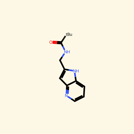 CC(C)(C)C(=O)NCc1cc2ncccc2[nH]1